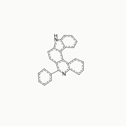 c1ccc(-c2nc3ccccc3c3c2ccc2[nH]c4ccccc4c23)cc1